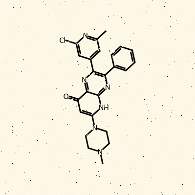 Cc1cc(-c2nc3c(=O)cc(N4CCN(C)CC4)[nH]c3nc2-c2ccccc2)cc(Cl)n1